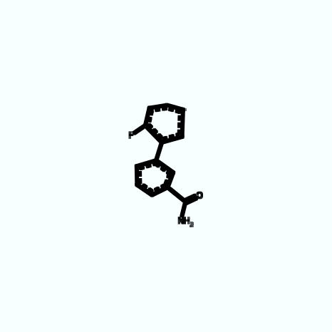 NC(=O)c1cccc(-c2c[c]ccc2F)c1